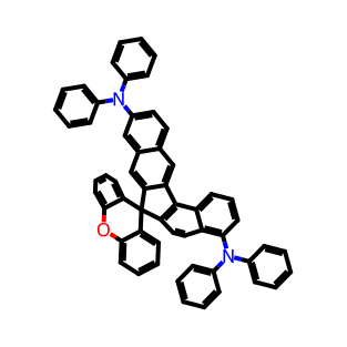 c1ccc(N(c2ccccc2)c2ccc3cc4c(cc3c2)C2(c3ccccc3Oc3ccccc32)c2ccc3c(N(c5ccccc5)c5ccccc5)cccc3c2-4)cc1